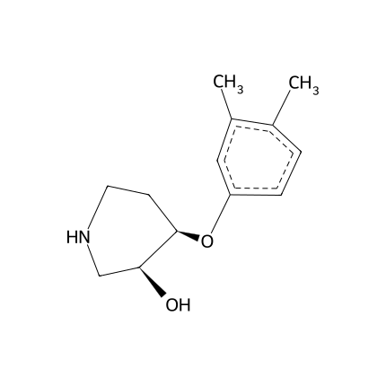 Cc1ccc(O[C@@H]2CCNC[C@@H]2O)cc1C